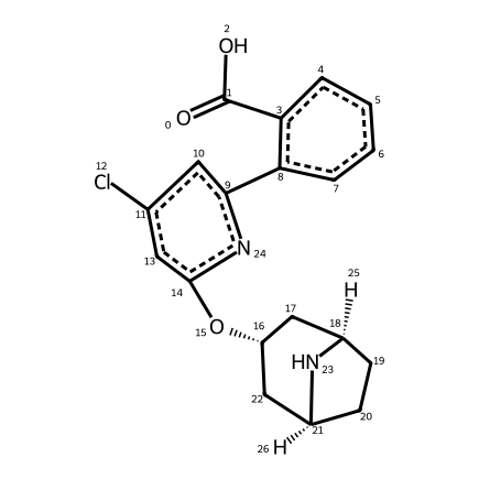 O=C(O)c1ccccc1-c1cc(Cl)cc(O[C@@H]2C[C@H]3CC[C@@H](C2)N3)n1